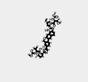 CC[C@H]1C[C@@H](c2nc3ccc4cc5c(cc4c3[nH]2)OCc2cc(-c3cnc([C@@H]4CC[C@H](C)N4C(=O)C(NC(=O)OC)C(C)C)[nH]3)ccc2-5)N(C(=O)[C@@H](NC(=O)OC)[C@@H](C)OC)C1